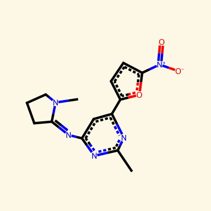 Cc1nc(N=C2CCCN2C)cc(-c2ccc([N+](=O)[O-])o2)n1